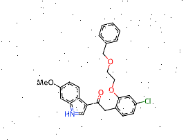 COc1ccc2c(C(=O)Cc3ccc(Cl)cc3OCCOCc3ccccc3)c[nH]c2c1